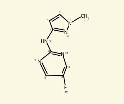 Cn1ccc(Nc2ncc(F)cn2)n1